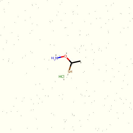 CC(S)ON.Cl